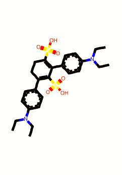 CCN(CC)c1ccc(C2=C(S(=O)(=O)O)C(c3ccc(N(CC)CC)cc3)=C(S(=O)(=O)O)[CH]C2)cc1